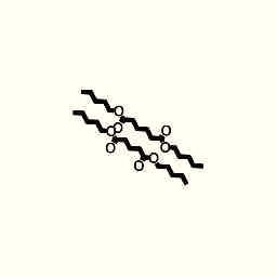 CCCCCOC(=O)CCCC(=O)OCCCCC.CCCCCOC(=O)CCCCC(=O)OCCCCC